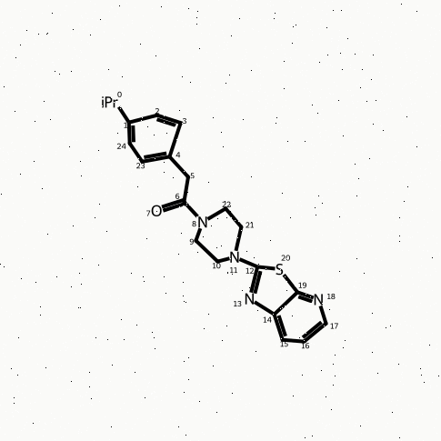 CC(C)c1ccc(CC(=O)N2CCN(c3nc4cccnc4s3)CC2)cc1